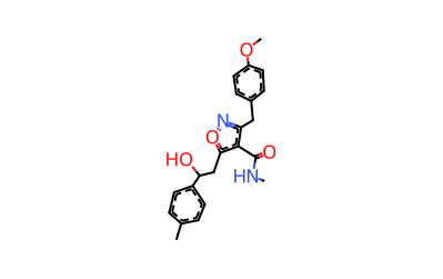 CNC(=O)c1c(Cc2ccc(OC)cc2)noc1CC(O)c1ccc(C)cc1